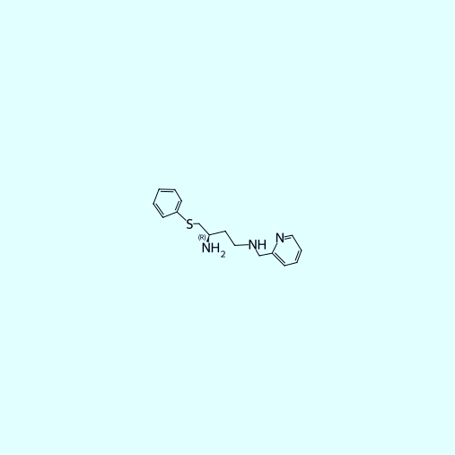 N[C@H](CCNCc1ccccn1)CSc1ccccc1